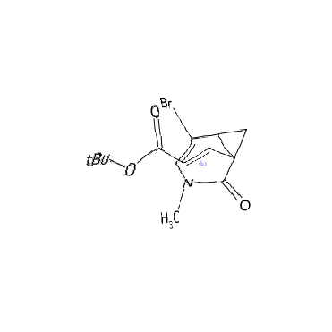 CN1C=C(Br)C2CC2(/C=C/C(=O)OC(C)(C)C)C1=O